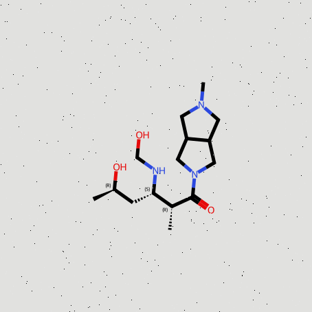 C[C@@H](O)C[C@H](NCO)[C@@H](C)C(=O)N1CC2CN(C)CC2C1